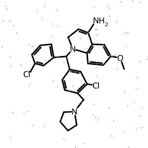 COc1ccc2c(c1)C(N)=CCN2C(c1cccc(Cl)c1)c1ccc(CN2CCCC2)c(Cl)c1